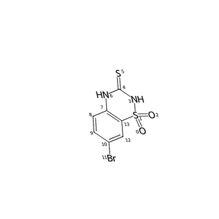 O=S1(=O)NC(=S)Nc2ccc(Br)cc21